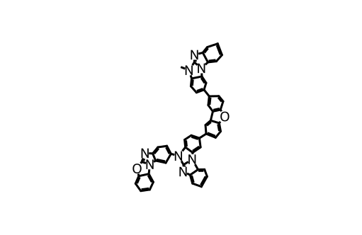 Cn1c2ccc(-c3ccc4oc5ccc(-c6ccc7c(c6)n6c8ccccc8nc6n7-c6ccc7nc8oc9ccccc9n8c7c6)cc5c4c3)cc2n2c3ccccc3nc12